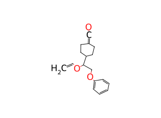 C=COC(COc1ccccc1)C1CCC(=C=O)CC1